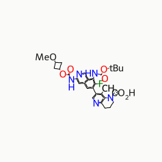 CO[C@H]1C[C@H](OC(=O)Nc2cc3cc(-c4cnc5c(c4C)N(C(=O)O)CCC5)c(F)c(NC(=O)OC(C)(C)C)c3cn2)C1